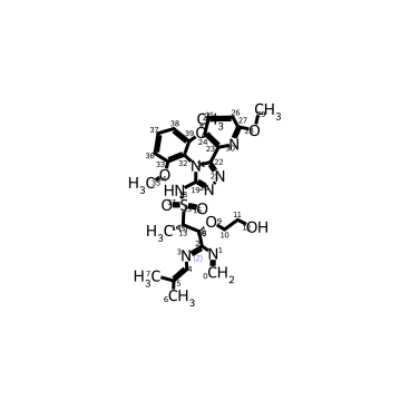 C=N/C(=N\C=C(C)C)[C@@H](OCCO)[C@H](C)S(=O)(=O)Nc1nnc(-c2cccc(OC)n2)n1-c1c(OC)cccc1OC